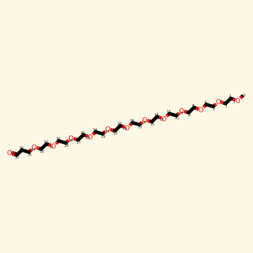 COCCOCCOCCOCCOCCOCCOCCOCCOCCOCCOCCOCCC=O